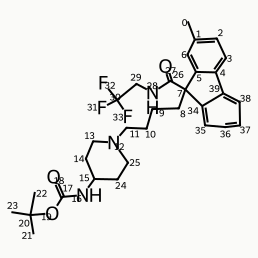 Cc1ccc2c(c1)C(CCCCN1CCC(NC(=O)OC(C)(C)C)CC1)(C(=O)NCC(F)(F)F)c1ccccc1-2